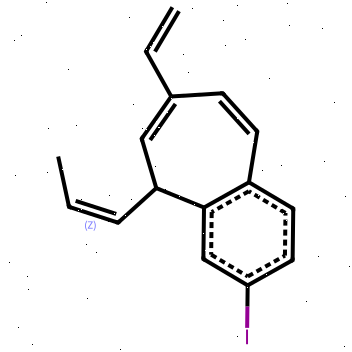 C=CC1=CC(/C=C\C)c2cc(I)ccc2C=C1